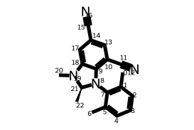 Cc1cccc(C)c1N1c2c(C#N)cc(C#N)cc2N(C)[C@@H]1C